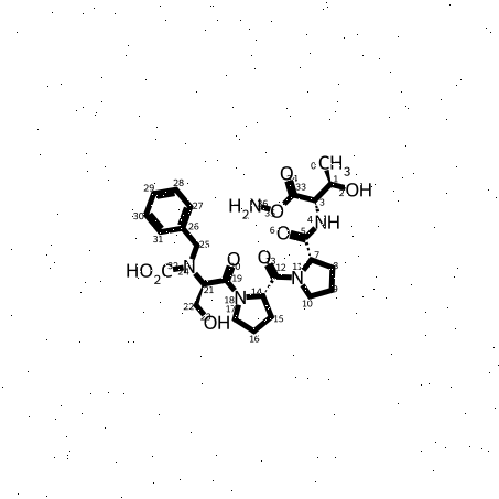 C[C@@H](O)[C@H](NC(=O)[C@@H]1CCCN1C(=O)[C@@H]1CCCN1C(=O)[C@@H](CO)N(Cc1ccccc1)C(=O)O)C(=O)ON